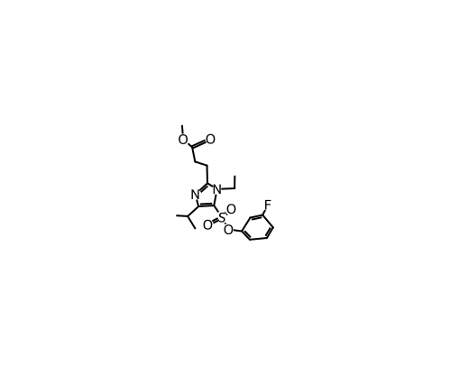 CCn1c(CCC(=O)OC)nc(C(C)C)c1S(=O)(=O)Oc1cccc(F)c1